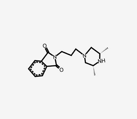 C[C@@H]1CN(CCCN2C(=O)c3ccccc3C2=O)C[C@H](C)N1